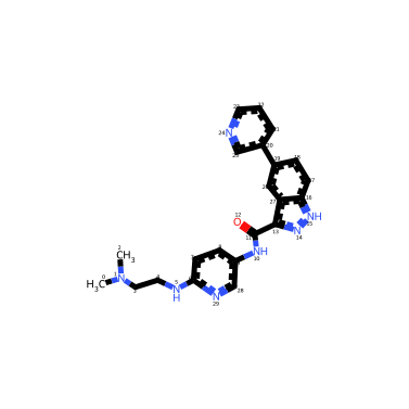 CN(C)CCNc1ccc(NC(=O)c2n[nH]c3ccc(-c4cccnc4)cc23)cn1